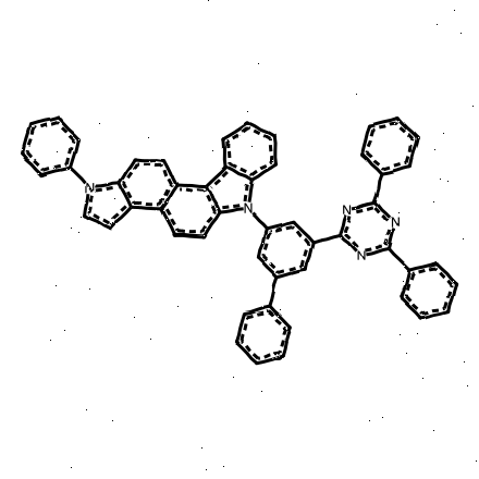 c1ccc(-c2cc(-c3nc(-c4ccccc4)nc(-c4ccccc4)n3)cc(-n3c4ccccc4c4c5ccc6c(ccn6-c6ccccc6)c5ccc43)c2)cc1